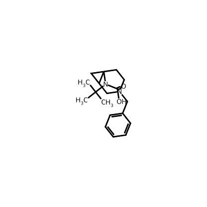 CC(C)(C)N(C(=O)O)C12CCN(Cc3ccccc3)CC1C2